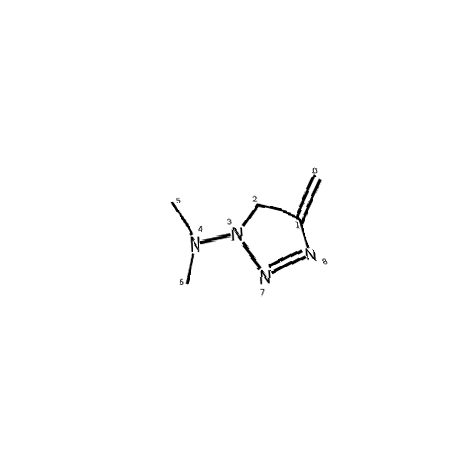 C=C1CN(N(C)C)N=N1